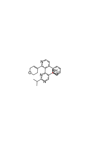 CC(C)c1ncc(C(N)=O)c(-c2c(-c3ccccc3)ccnc2C2=CCOCC2)n1